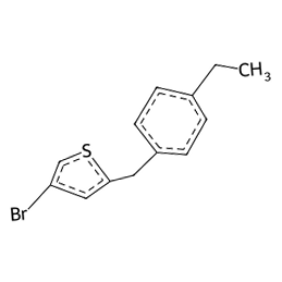 CCc1ccc(Cc2cc(Br)cs2)cc1